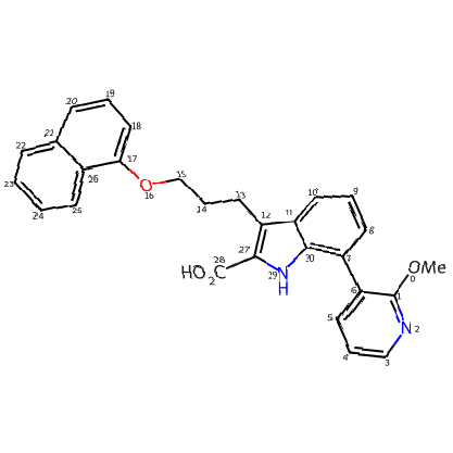 COc1ncccc1-c1cccc2c(CCCOc3cccc4ccccc34)c(C(=O)O)[nH]c12